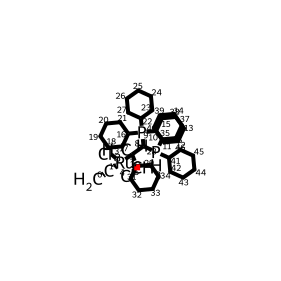 C=[C]=[Ru]([Cl])([Cl])[C](C)(C)C([PH](C1CCCCC1)(C1CCCCC1)C1CCCCC1)[PH](C1CCCCC1)(C1CCCCC1)C1CCCCC1